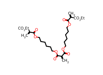 C=C(C(=O)OCC)C(=O)OCCCCCCOC(=O)C(=C)C(=O)OCCCCCCOC(=O)C(=C)C(=O)OCC